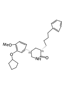 COc1ccc([C@H]2CNC(=O)[C@@H](CCCCc3ccccc3)C2)cc1OC1CCCC1